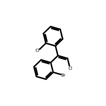 ClC=C(c1ccccc1Cl)c1ccccc1Br